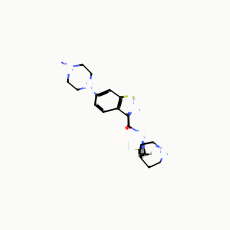 CN1CCN(c2ccc3c(C(=O)N[C@@H]4CN5CCC4CC5)nsc3c2)CC1